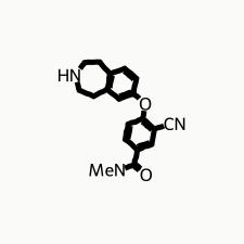 CNC(=O)c1ccc(Oc2ccc3c(c2)CCNCC3)c(C#N)c1